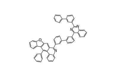 c1ccc(-c2cccc(-c3nc(-c4cccc(-c5cccc(-c6nc7ccccc7c7c(-c8ccccc8)c8c(cc67)oc6ccccc68)c5)c4)c4ccccc4n3)c2)cc1